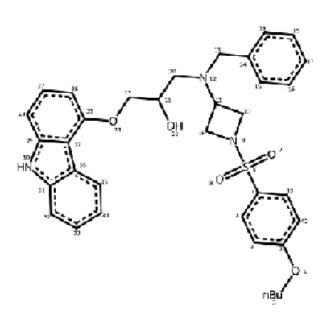 CCCCOc1ccc(S(=O)(=O)N2CC(N(Cc3ccccc3)CC(O)COc3cccc4[nH]c5ccccc5c34)C2)cc1